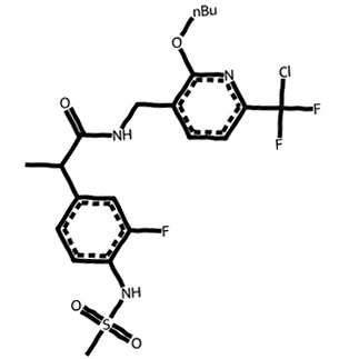 CCCCOc1nc(C(F)(F)Cl)ccc1CNC(=O)C(C)c1ccc(NS(C)(=O)=O)c(F)c1